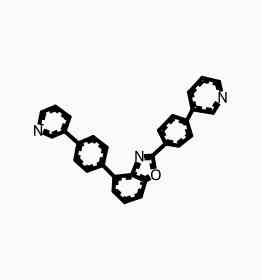 c1cncc(-c2ccc(-c3nc4c(-c5ccc(-c6cccnc6)cc5)cccc4o3)cc2)c1